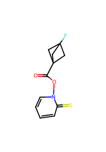 O=C(On1ccccc1=S)C12CC(F)(C1)C2